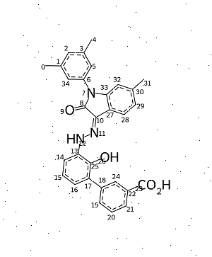 Cc1cc(C)cc(N2C(=O)/C(=N\Nc3cccc(-c4cccc(C(=O)O)c4)c3O)c3ccc(C)cc32)c1